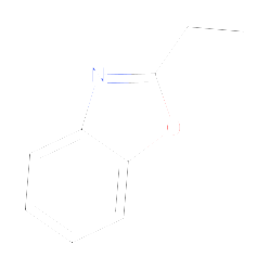 CCc1nc2ccccc2o1